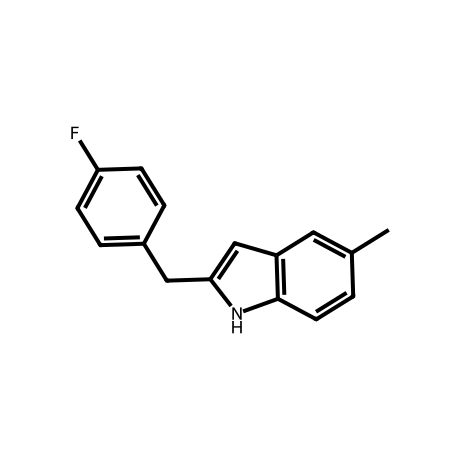 Cc1ccc2[nH]c(Cc3ccc(F)cc3)cc2c1